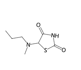 CCCN(C)C1SC(=O)NC1=O